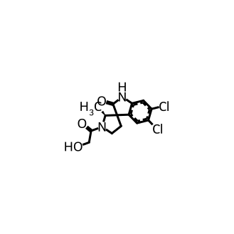 C[C@@H]1N(C(=O)CO)CCC12C(=O)Nc1cc(Cl)c(Cl)cc12